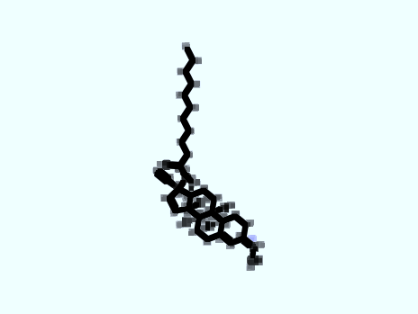 C#C[C@]1(OC(=O)CCCCCCCCCC)C=C[C@H]2[C@@H]3CCC4=C/C(=N\O)CC[C@@H]4[C@H]3CC[C@@]21CC